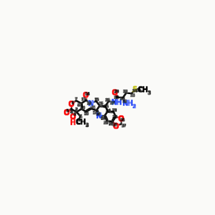 CC[C@@]1(O)C(=O)OCc2c1cc1n(c2=O)Cc2c-1nc1cc3c(cc1c2CNC(=O)[C@@H](N)CCSC)OCO3